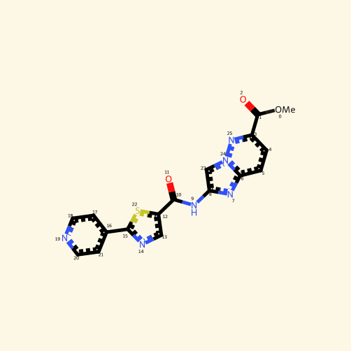 COC(=O)c1ccc2nc(NC(=O)c3cnc(-c4ccncc4)s3)cn2n1